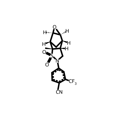 C[C@@]12[C@@H](CN(c3ccc(C#N)c(C(F)(F)F)c3)S1(=O)=O)[C@@H]1C[C@H]2[C@H]2O[C@@H]12